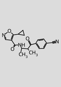 CC(NC(=O)c1cnoc1C1CC1)C(C)C(=O)c1ccc(C#N)cc1